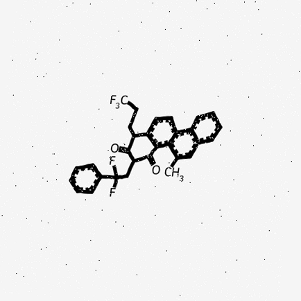 Cc1cc2ccccc2c2ccc3c(c12)C(=O)C(CC(F)(F)c1ccccc1)C(=O)C3CCC(F)(F)F